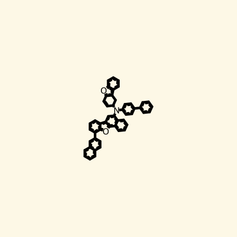 C1=CC(N(c2ccc(-c3ccccc3)cc2)c2cc3c4cccc(-c5ccc6ccccc6c5)c4oc3c3ccccc23)Cc2c1oc1ccccc21